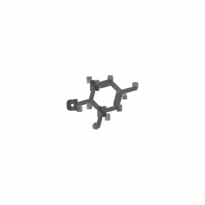 CC1=CN(C)C(Cl)N=C1